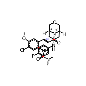 COc1cc(/C=C/C(=O)N2[C@@H]3COC[C@H]2C[C@@H](Nc2ccc(F)cc2)C3)c(NC(=O)N(C)C)cc1Cl